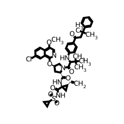 C=C[C@@H]1C[C@]1(NC(=O)[C@@H]1C[C@@H](Oc2ncc(OC)c3ccc(Cl)cc23)CN1C(=O)C(Nc1ccc(C(=O)CC(C)(C)c2ccccc2)cc1)C(C)(C)C)C(=O)NS(=O)(=O)C1CC1